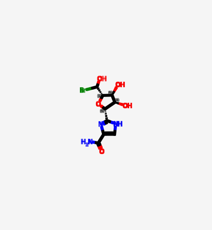 NC(=O)c1c[nH]c([C@@H]2O[C@H](C(O)Br)[C@@H](O)[C@H]2O)n1